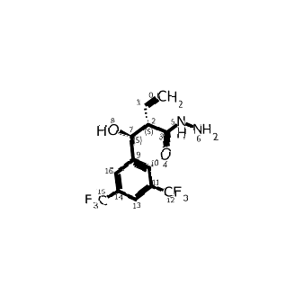 C=C[C@H](C(=O)NN)[C@H](O)c1cc(C(F)(F)F)cc(C(F)(F)F)c1